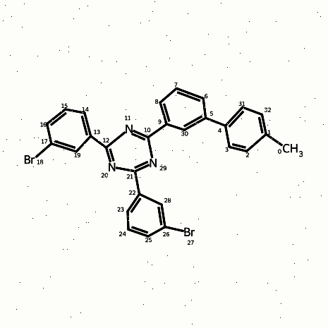 Cc1ccc(-c2cccc(-c3nc(-c4cccc(Br)c4)nc(-c4cccc(Br)c4)n3)c2)cc1